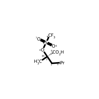 CC(C)C[C@@](C)(OS(=O)(=O)C(F)(F)F)C(=O)O